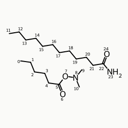 CCCCCC(=O)ON(C)C.CCCCCCCCCCCC(N)=O